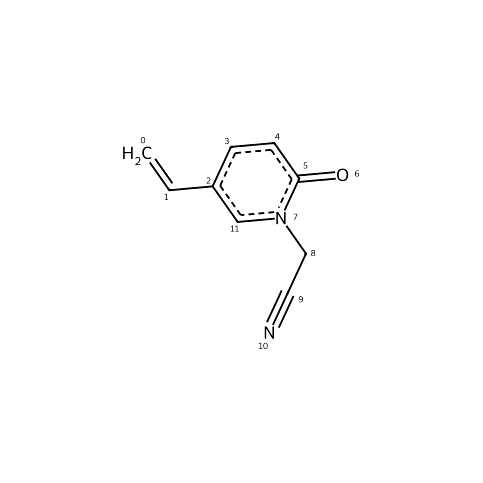 C=Cc1ccc(=O)n(CC#N)c1